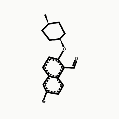 C[C@H]1CC[C@@H](Oc2ccc3cc(Br)ccc3c2C=O)CC1